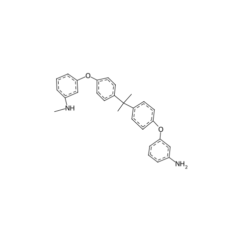 CNc1cccc(Oc2ccc(C(C)(C)c3ccc(Oc4cccc(N)c4)cc3)cc2)c1